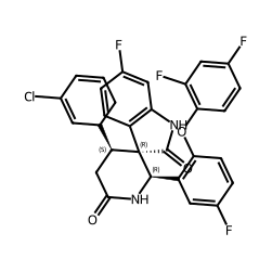 O=C1C[C@@H](C2C=C(Cl)C=CC2)[C@]2(C(=O)Nc3cc(F)ccc32)[C@@H](c2cc(F)ccc2Oc2ccc(F)cc2F)N1